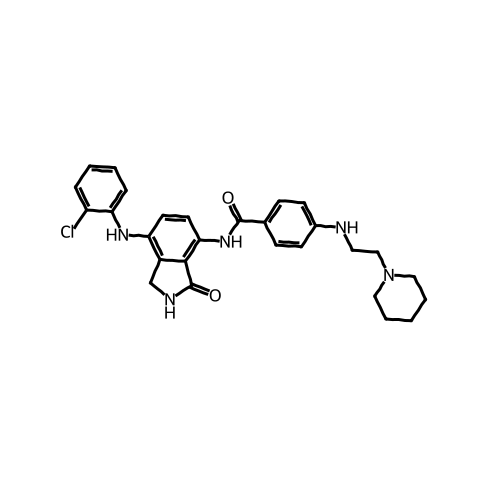 O=C(Nc1ccc(Nc2ccccc2Cl)c2c1C(=O)NC2)c1ccc(NCCN2CCCCC2)cc1